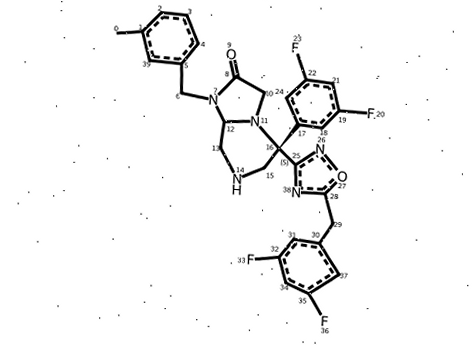 Cc1cccc(CN2C(=O)CN3C2CNC[C@@]3(c2cc(F)cc(F)c2)c2noc(Cc3cc(F)cc(F)c3)n2)c1